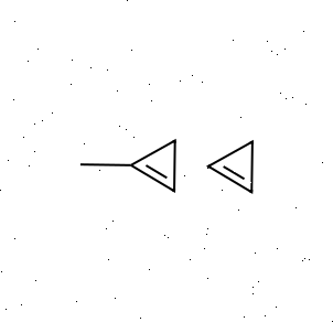 C1=CC1.CC1=CC1